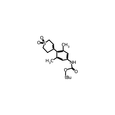 Cc1cc(NC(=O)OC(C)(C)C)cc(C)c1C1=CCS(=O)(=O)CC1